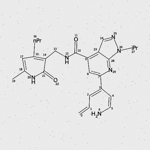 C=C/C=C(\C=C/N)c1cc(C(=O)NCc2c(CCC)cc(C)[nH]c2=O)c2cnn(C(C)C)c2n1